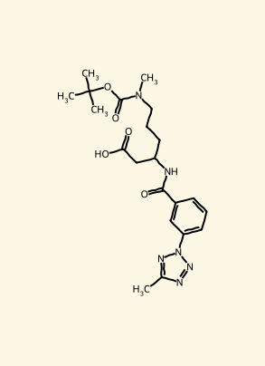 Cc1nnn(-c2cccc(C(=O)NC(CCCN(C)C(=O)OC(C)(C)C)CC(=O)O)c2)n1